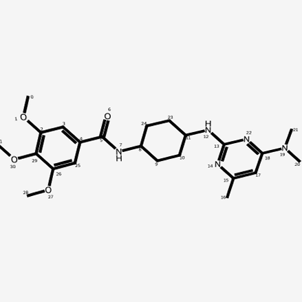 COc1cc(C(=O)NC2CCC(Nc3nc(C)cc(N(C)C)n3)CC2)cc(OC)c1OC